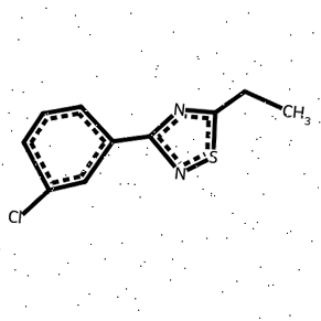 CCc1nc(-c2cccc(Cl)c2)ns1